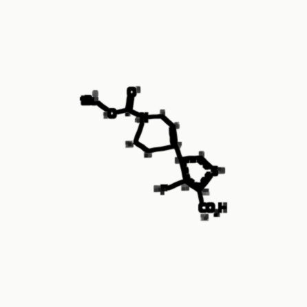 CC(C)(C)OC(=O)N1CC=C(c2csc(C(=O)O)c2F)CC1